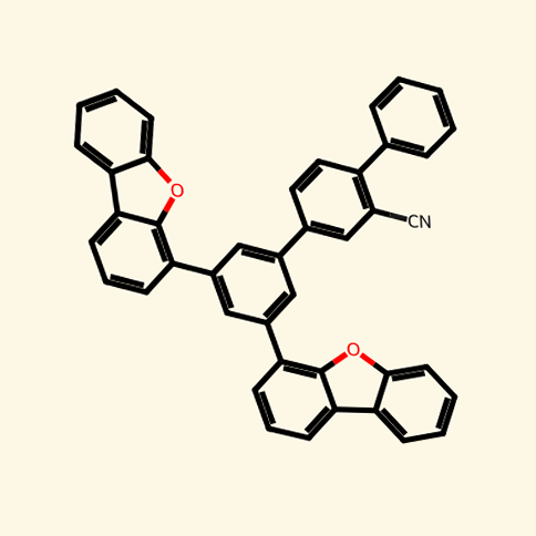 N#Cc1cc(-c2cc(-c3cccc4c3oc3ccccc34)cc(-c3cccc4c3oc3ccccc34)c2)ccc1-c1ccccc1